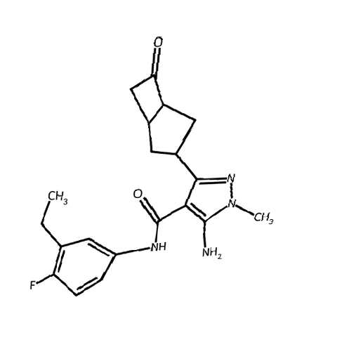 CCc1cc(NC(=O)c2c(C3CC4CC(=O)C4C3)nn(C)c2N)ccc1F